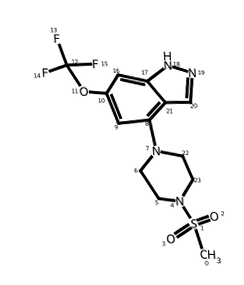 CS(=O)(=O)N1CCN(c2cc(OC(F)(F)F)cc3[nH]ncc23)CC1